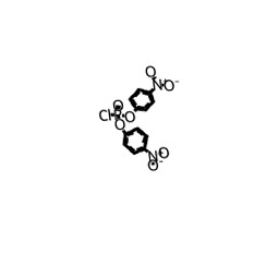 O=[N+]([O-])c1ccc(OP(=O)(Cl)Oc2ccc([N+](=O)[O-])cc2)cc1